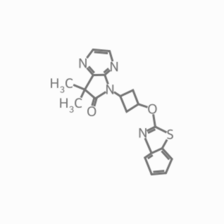 CC1(C)C(=O)N(C2CC(Oc3nc4ccccc4s3)C2)c2nccnc21